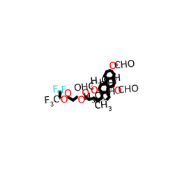 C[C@H](CCC(=O)OCCC(=O)OC(C(F)F)C(F)(F)F)[C@H]1CC[C@H]2[C@@H]3C(OC=O)C[C@@H]4CC(OC=O)CC[C@]4(C)[C@H]3CC(OC=O)[C@]12C